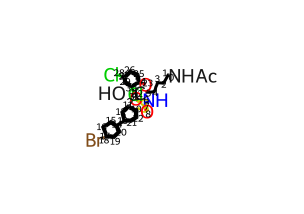 CC(=O)NCCCCC(NS(=O)(=O)c1ccc(-c2ccc(Br)cc2)cc1)(Oc1ccc(Cl)cc1Cl)C(=O)O